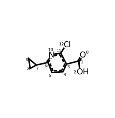 O=C(O)c1ccc(C2CC2)nc1Cl